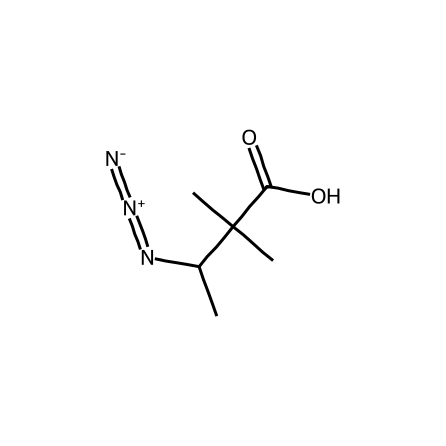 CC(N=[N+]=[N-])C(C)(C)C(=O)O